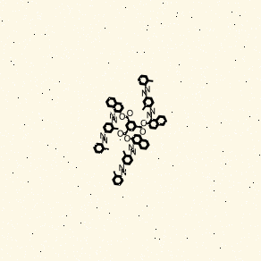 Cc1ccccc1/N=N/c1ccc(/N=N/c2c(OC(=O)c3cc(C(=O)Oc4ccc5ccccc5c4/N=N/c4ccc(/N=N/c5ccccc5C)cc4C)cc(C(=O)Oc4ccc5ccccc5c4/N=N/c4ccc(/N=N/c5ccccc5C)cc4C)c3)ccc3ccccc23)c(C)c1